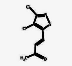 CC(=O)C=Cc1snc(Cl)c1Cl